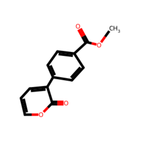 COC(=O)c1ccc(-c2cccoc2=O)cc1